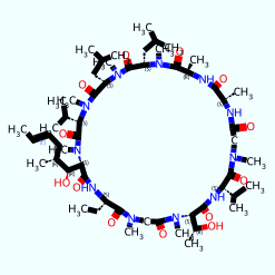 C/C=C/C[C@@H](C)[C@@H](O)[C@H]1C(=O)N[C@@H](CC)C(=O)N(C)CC(=O)N(C)[C@@H]([C@@H](C)O)C(=O)N[C@@H](C(C)C)C(=O)N(C)CC(=O)N[C@@H](C)C(=O)N[C@H](C)C(=O)N(C)[C@@H](CC(C)C)C(=O)N(C)[C@@H](CC(C)C)C(=O)N(C)[C@@H](C(C)C)C(=O)N1C